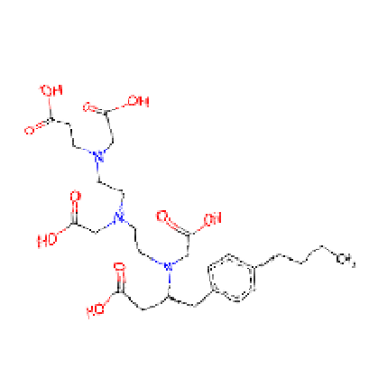 CCCCc1ccc(CC(CC(=O)O)N(CCN(CCN(CCC(=O)O)CC(=O)O)CC(=O)O)CC(=O)O)cc1